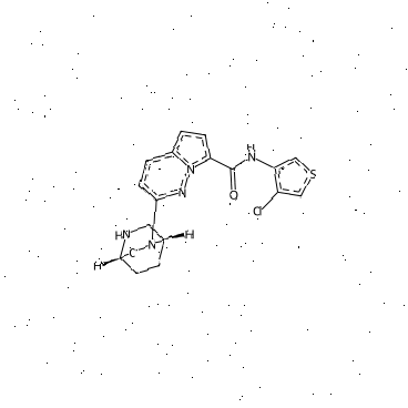 O=C(Nc1cscc1Cl)c1ccc2ccc(N3C[C@@H]4CC[C@H]3CN4)nn12